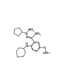 CNSc1ccc(NC2CCCCC2)c(/C(N)=N/N(N)C2CCCC2)c1